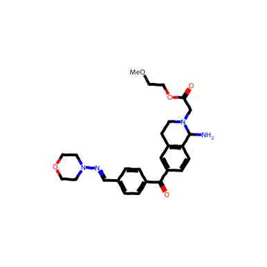 COCCOC(=O)CN1CCc2cc(C(=O)c3ccc(C=NN4CCOCC4)cc3)ccc2C1N